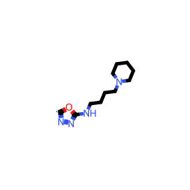 [c]1nnc(NCCCCN2CCCCC2)o1